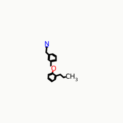 CCCc1ccccc1OCc1cccc(CC#N)c1